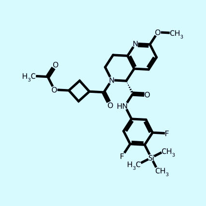 COc1ccc2c(n1)CCN(C(=O)C1CC(OC(C)=O)C1)[C@H]2C(=O)Nc1cc(F)c([Si](C)(C)C)c(F)c1